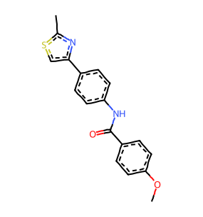 COc1ccc(C(=O)Nc2ccc(-c3csc(C)n3)cc2)cc1